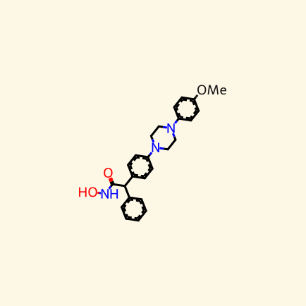 COc1ccc(N2CCN(c3ccc(C(C(=O)NO)c4ccccc4)cc3)CC2)cc1